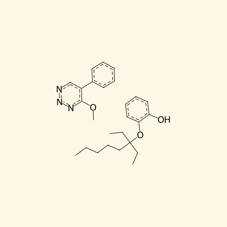 CCCCCC(CC)(CC)Oc1ccccc1O.COc1nnncc1-c1ccccc1